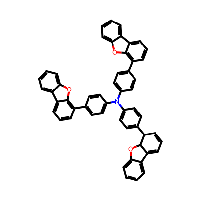 C1=CC(c2ccc(N(c3ccc(-c4cccc5c4oc4ccccc45)cc3)c3ccc(-c4cccc5c4oc4ccccc45)cc3)cc2)C2Oc3ccccc3C2=C1